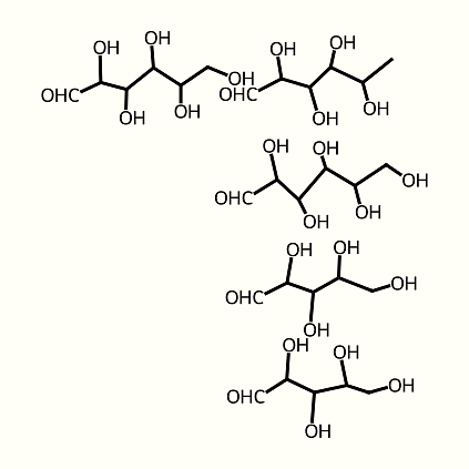 CC(O)C(O)C(O)C(O)C=O.O=CC(O)C(O)C(O)C(O)CO.O=CC(O)C(O)C(O)C(O)CO.O=CC(O)C(O)C(O)CO.O=CC(O)C(O)C(O)CO